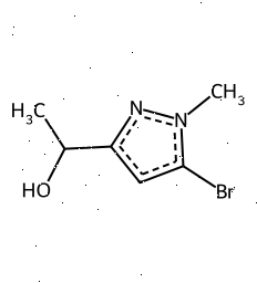 CC(O)c1cc(Br)n(C)n1